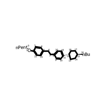 CCCCCOc1ccc(CCc2ccc([C@H]3CC[C@H](CCCC)CC3)cc2)cc1